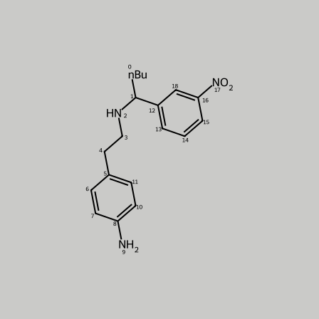 CCCCC(NCCc1ccc(N)cc1)c1cccc([N+](=O)[O-])c1